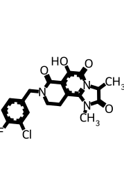 CC1C(=O)N(C)c2c3c(c(O)c(=O)n21)C(=O)N(Cc1ccc(F)c(Cl)c1)CC3